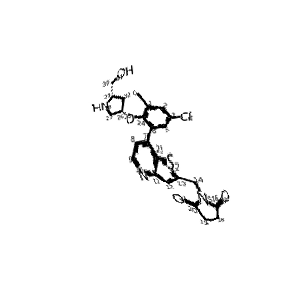 Cc1cc(Cl)cc(-c2ccnc3cc(CN4C(=O)CCC4=O)sc23)c1O[C@@H]1CN[C@H](CO)C1